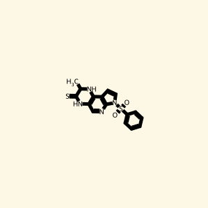 CC1Nc2c(cnc3c2ccn3S(=O)(=O)c2ccccc2)NC1=S